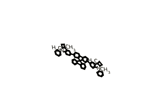 CC12CCC1(C)N(c1ccccc1)c1ccc(-c3ccc4c(c3)C3(c5ccccc5-c5ccccc53)c3cc(-c5ccc6c(c5)C5(C)CCC5(C)N6c5ccccc5)ccc3-4)cc12